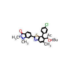 CC(=O)[C@@H](OC(C)(C)C)c1c(C)cc2nc(-c3ccc4c(=O)n(C)n(C)c4c3)sc2c1-c1ccc(Cl)cc1